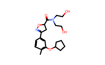 Cc1ccc(C2=NOC(C(=O)N(CCO)CCO)C2)cc1OC1CCCC1